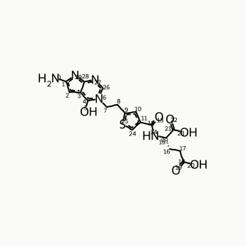 Nc1cc2c(O)n(CCc3cc(C(=O)N[C@@H](CCC(=O)O)C(=O)O)cs3)cnc-2n1